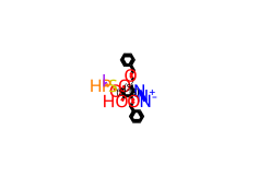 [N-]=[N+]=N[C@@H]1C(OCc2ccccc2)C(O)[C@H](OSPI)O[C@@H]1COCc1ccccc1